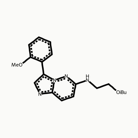 COc1ccccc1-c1cnc2ccc(NCCOCC(C)C)nn12